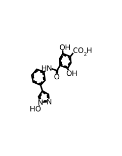 O=C(O)c1cc(O)c(C(=O)Nc2cccc(-c3cnn(O)c3)c2)cc1O